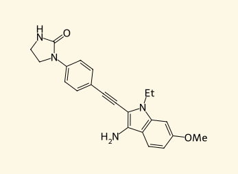 CCn1c(C#Cc2ccc(N3CCNC3=O)cc2)c(N)c2ccc(OC)cc21